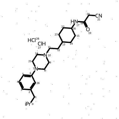 CC(C)Cc1cccc(N2CCN(CCC3CCC(NC(=O)CC#N)CC3)CC2)c1.Cl.Cl